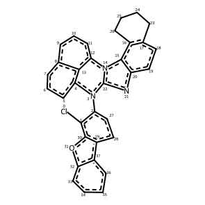 Clc1c(-n2c3cccc4cccc(c43)n3c4c5c(ccc4nc23)CCCC5)ccc2c1oc1ccccc12